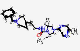 C[C@@H]1CN(c2cnc(C#N)cn2)C[C@H](C)N1C(=O)NCCC1CCN(Cc2ccccc2)CC1